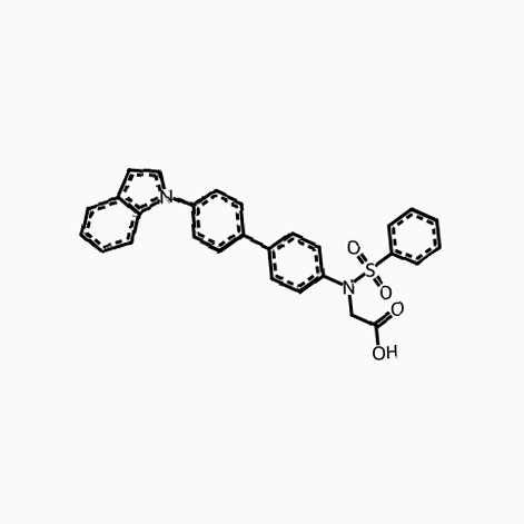 O=C(O)CN(c1ccc(-c2ccc(-n3ccc4ccccc43)cc2)cc1)S(=O)(=O)c1ccccc1